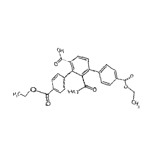 CCOC(=O)c1ccc(-c2ccc(C(=O)O)c(-c3ccc(C(=O)OCC)cc3)c2C(=O)O)cc1